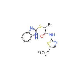 CCOC(=O)c1cnc(NC(=O)C(CC)Sc2nc3ccccc3[nH]2)s1